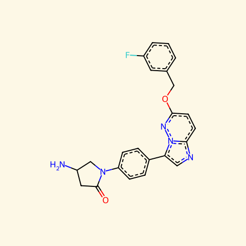 NC1CC(=O)N(c2ccc(-c3cnc4ccc(OCc5cccc(F)c5)nn34)cc2)C1